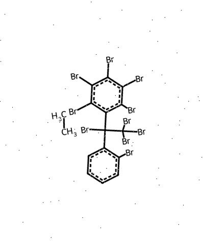 Brc1ccccc1C(Br)(c1c(Br)c(Br)c(Br)c(Br)c1Br)C(Br)(Br)Br.CC